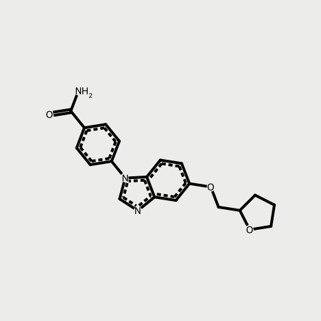 NC(=O)c1ccc(-n2cnc3cc(OCC4CCCO4)ccc32)cc1